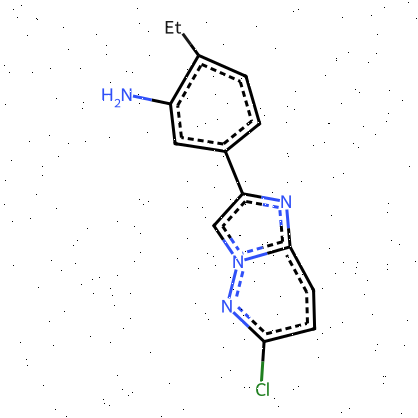 CCc1ccc(-c2cn3nc(Cl)ccc3n2)cc1N